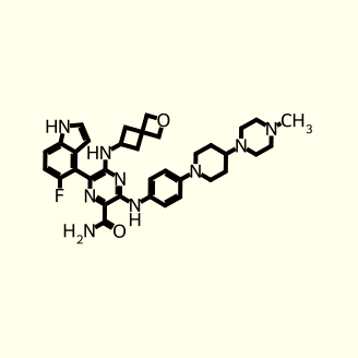 CN1CCN(C2CCN(c3ccc(Nc4nc(NC5CC6(COC6)C5)c(-c5c(F)ccc6[nH]ccc56)nc4C(N)=O)cc3)CC2)CC1